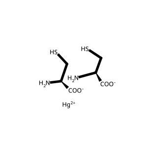 N[C@@H](CS)C(=O)[O-].N[C@@H](CS)C(=O)[O-].[Hg+2]